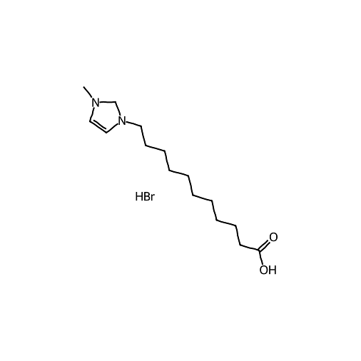 Br.CN1C=CN(CCCCCCCCCCC(=O)O)C1